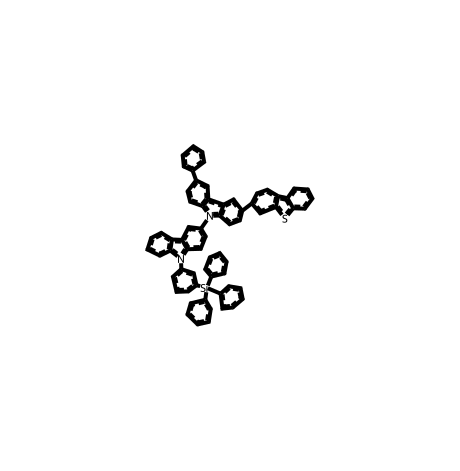 c1ccc(-c2ccc3c(c2)c2cc(-c4ccc5c(c4)sc4ccccc45)ccc2n3-c2ccc3c(c2)c2ccccc2n3-c2cccc([Si](c3ccccc3)(c3ccccc3)c3ccccc3)c2)cc1